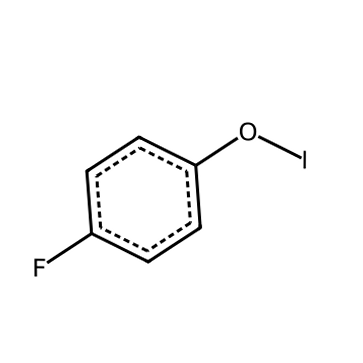 Fc1ccc(OI)cc1